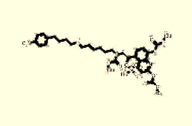 CC(C)(C)OC(=O)Oc1ccc2c([C@H](CN(CCCCCCOCCCCc3ccc([N+](=O)[O-])cc3)C(=O)OC(C)(C)C)O[Si](C)(C)C(C)(C)C)ccc(OC(=O)OC(C)(C)C)c2n1